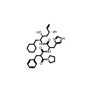 C=C[C@@H](C[C@H](O)[C@H](CC1CCCCC1)NC(=O)C(Cc1c[nH]cn1)NC(=O)C(Cc1ccccc1)C(=O)N1CCCC1)C(C)C